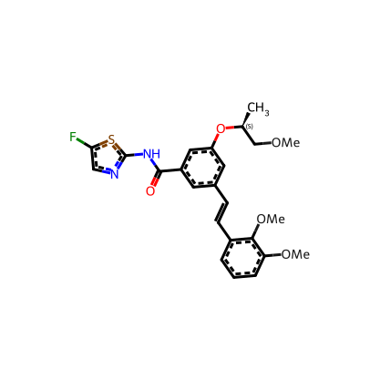 COC[C@H](C)Oc1cc(C=Cc2cccc(OC)c2OC)cc(C(=O)Nc2ncc(F)s2)c1